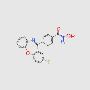 O=C(NO)C1=CCC(C2=Nc3ccccc3Oc3ccc(F)cc32)C=C1